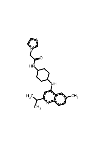 Cc1ccc2nc(C(C)C)cc(NC3CCC(NC(=O)Cn4ccnc4)CC3)c2c1